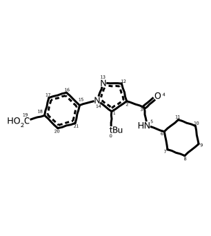 CC(C)(C)c1c(C(=O)NC2CCCCC2)cnn1-c1ccc(C(=O)O)cc1